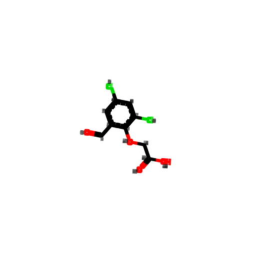 O=Cc1cc(Cl)cc(Cl)c1OCC(=O)O